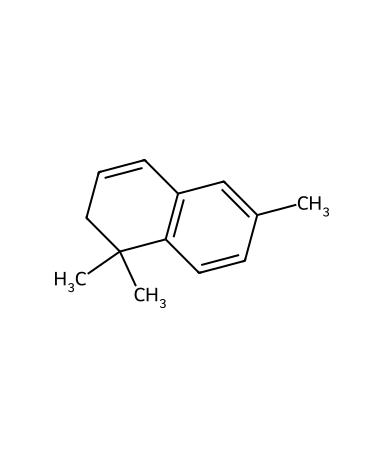 Cc1ccc2c(c1)C=CCC2(C)C